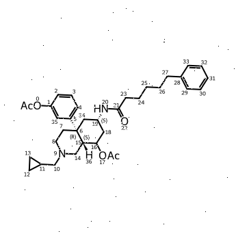 CC(=O)Oc1cccc([C@@]23CCN(CC4CC4)C[C@H]2C(OC(C)=O)C[C@@H](NC(=O)CCCCCc2ccccc2)C3)c1